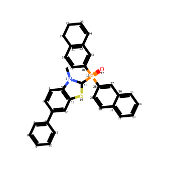 CN1c2ccc(-c3ccccc3)cc2SC1P(=O)(c1ccc2c(c1)C=CCC2)c1ccc2ccccc2c1